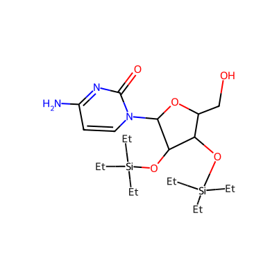 CC[Si](CC)(CC)OC1C(CO)OC(n2ccc(N)nc2=O)C1O[Si](CC)(CC)CC